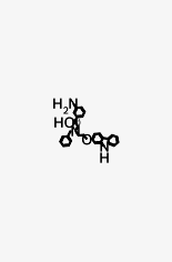 Nc1cccc([C@@H](O)CN(CCOc2ccc3c(c2)[nH]c2ccccc23)Cc2ccccc2)c1